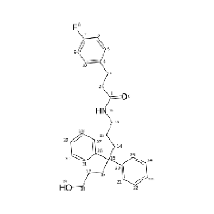 O=C(CCc1ccc(F)cc1)NCCCC(CCCO)(c1ccccc1)c1ccccc1